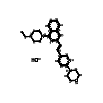 CCN1CCN(c2nc(C=Cc3ccc(N4CCOCC4)nc3)cc3ccccc23)CC1.Cl